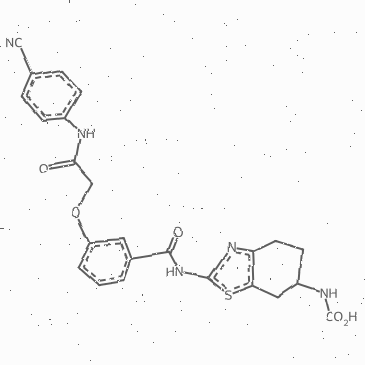 N#Cc1ccc(NC(=O)COc2cccc(C(=O)Nc3nc4c(s3)CC(NC(=O)O)CC4)c2)cc1